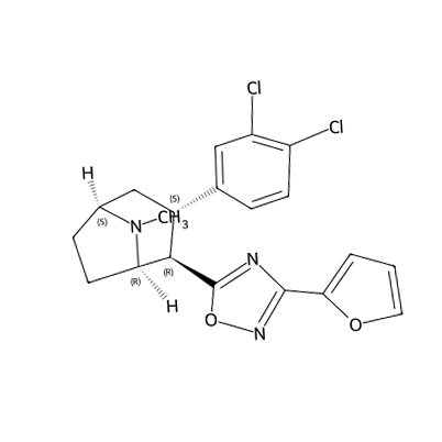 CN1[C@H]2CC[C@@H]1[C@H](c1nc(-c3ccco3)no1)[C@@H](c1ccc(Cl)c(Cl)c1)C2